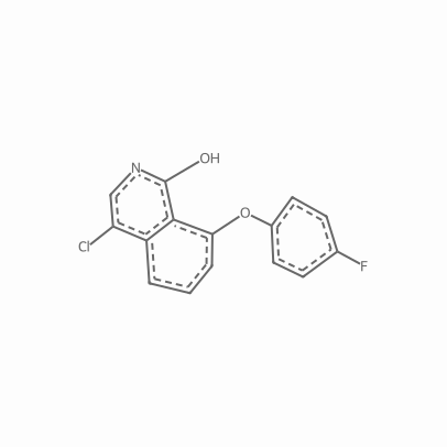 Oc1ncc(Cl)c2cccc(Oc3ccc(F)cc3)c12